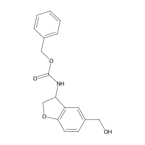 O=C(NC1COc2ccc(CO)cc21)OCc1ccccc1